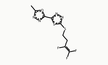 Cc1nnc(-c2nnc(SCCC(F)=C(F)F)s2)o1